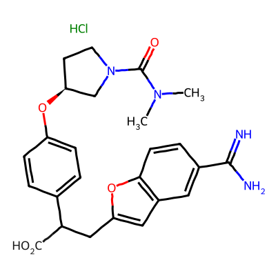 CN(C)C(=O)N1CC[C@H](Oc2ccc(C(Cc3cc4cc(C(=N)N)ccc4o3)C(=O)O)cc2)C1.Cl